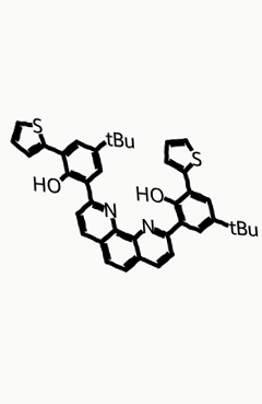 CC(C)(C)c1cc(-c2ccc3ccc4ccc(-c5cc(C(C)(C)C)cc(-c6cccs6)c5O)nc4c3n2)c(O)c(-c2cccs2)c1